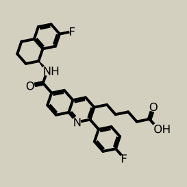 O=C(O)CCCCc1cc2cc(C(=O)N[C@H]3CCCc4ccc(F)cc43)ccc2nc1-c1ccc(F)cc1